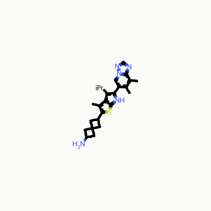 Cc1c(-c2[nH]c3sc(C4CC5(CC(N)C5)C4)c(C)c3c2C(C)C)cn2ncnc2c1C